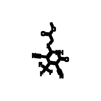 COC(=O)CSc1[nH]c(=O)c(C#N)c(C(F)(F)F)c1C#N